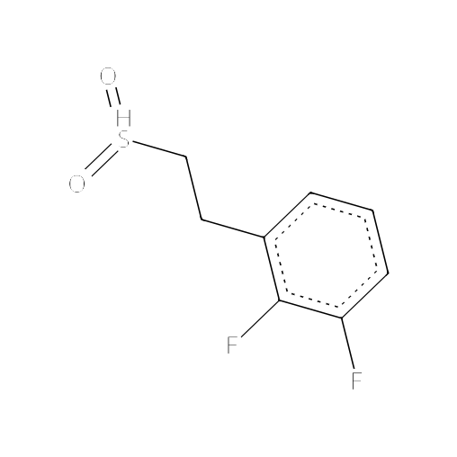 O=[SH](=O)CCc1cccc(F)c1F